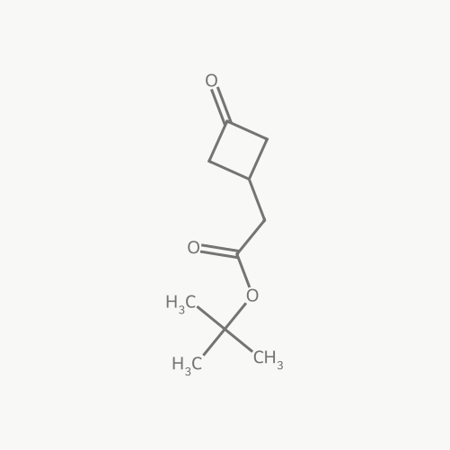 CC(C)(C)OC(=O)CC1CC(=O)C1